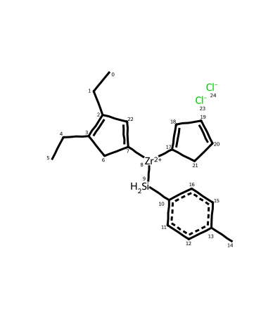 CCC1=C(CC)C[C]([Zr+2]([SiH2]c2ccc(C)cc2)[C]2=CC=CC2)=C1.[Cl-].[Cl-]